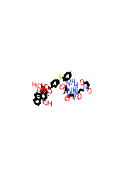 C[C@H](NC(=O)CCN1C(=O)C=CC1=O)C(=O)N[C@@H](C)C(=O)Nc1cccc(Sc2ccc([C@@H]3O[C@@H]4C[C@H]5[C@@H]6CCC7=CCC=C[C@]7(C)[C@@]6(F)[C@@H](O)C[C@]5(C)[C@]4(C(=O)CO)O3)cc2)c1